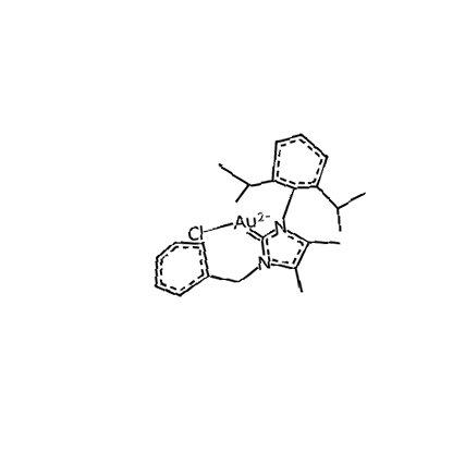 Cc1c(C)n(-c2c(C(C)C)cccc2C(C)C)[c](=[Au-2][Cl])n1Cc1ccccc1